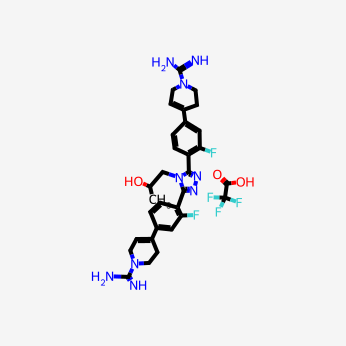 CC(O)Cn1c(-c2ccc(C3=CCN(C(=N)N)CC3)cc2F)nnc1-c1ccc(C2=CCN(C(=N)N)CC2)cc1F.O=C(O)C(F)(F)F